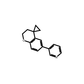 c1cncc(-c2ccc3c(c2)C2(CCO3)CC2)c1